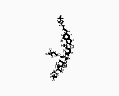 CC(C)(C)[Si](C)(C)OC/C=C/c1cc(F)c2c(c1)CC[C@@H]2Nc1nc2c(cc1Cl)nc(O[C@@H]1CO[C@@H]3C(O[Si](C)(C)C(C)(C)C)CO[C@@H]31)n2COCC[Si](C)(C)C